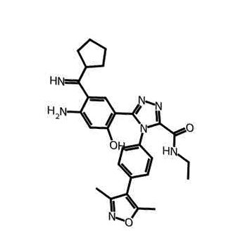 CCNC(=O)c1nnc(-c2cc(C(=N)C3CCCC3)c(N)cc2O)n1-c1ccc(-c2c(C)noc2C)cc1